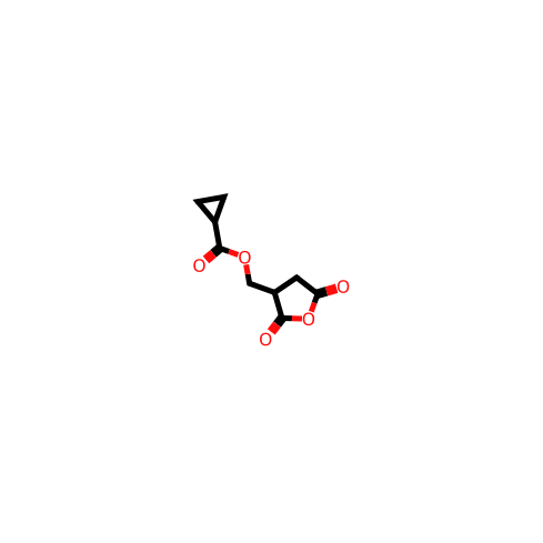 O=C1CC(COC(=O)C2CC2)C(=O)O1